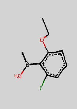 CCOc1cccc(F)c1B(C)O